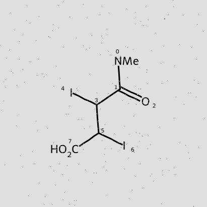 CNC(=O)C(I)C(I)C(=O)O